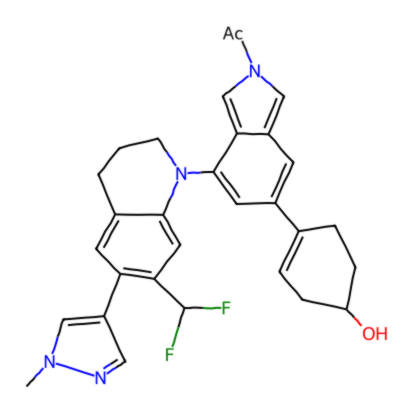 CC(=O)n1cc2cc(C3=CCC(O)CC3)cc(N3CCCc4cc(-c5cnn(C)c5)c(C(F)F)cc43)c2c1